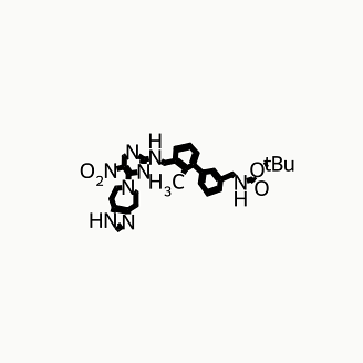 Cc1c(CNc2ncc([N+](=O)[O-])c(N3CCc4nc[nH]c4CC3)n2)cccc1-c1cccc(CNC(=O)OC(C)(C)C)c1